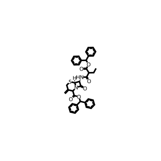 C=C1CS[C@H]2[C@H](NC(=O)C(CC)C(=O)OC(c3ccccc3)c3ccccc3)C(=O)N2C1C(=O)OC(c1ccccc1)c1ccccc1